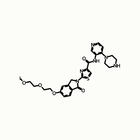 O=C(Nc1cnccc1N1CCNCC1)c1csc(N2Cc3cc(OCCOCCOI)ccc3C2=O)n1